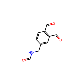 O=[C]NCc1ccc(C=O)c(C=O)c1